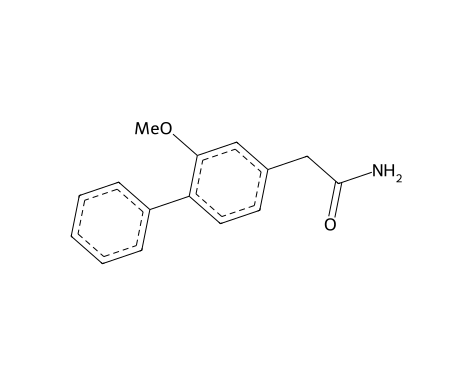 COc1cc(CC(N)=O)ccc1-c1ccccc1